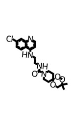 CC1(C)COC2(CCN(C(=O)NCCNc3ccnc4cc(Cl)ccc34)CC2)OO1